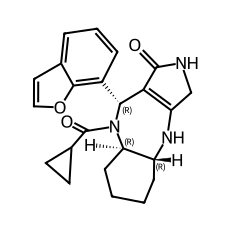 O=C1NCC2=C1[C@@H](c1cccc3ccoc13)N(C(=O)C1CC1)[C@@H]1CCCC[C@H]1N2